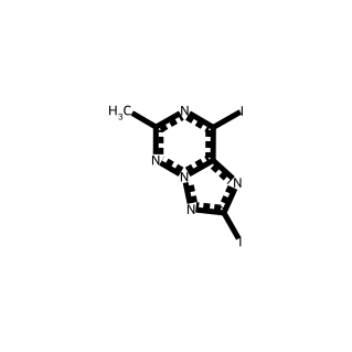 Cc1nc(I)c2nc(I)nn2n1